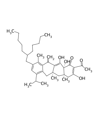 C=C1C2=C(O)[C@@]3(O)C(=O)C(C(C)=O)=C(O)C[C@@]3(C)C[C@@]2(C)Cc2c(C(C)C)cc(CC(CCCCC)CCCCC)c(C)c21